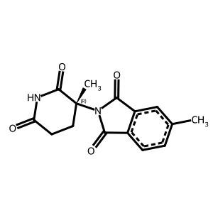 Cc1ccc2c(c1)C(=O)N([C@]1(C)CCC(=O)NC1=O)C2=O